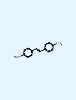 CNc1ccc(/C=C/c2ccc(C)cc2)cc1